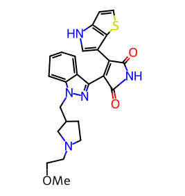 COCCN1CCC(Cn2nc(C3=C(c4c[nH]c5ccsc45)C(=O)NC3=O)c3ccccc32)C1